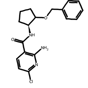 Nc1nc(Cl)ccc1C(=O)N[C@H]1CCCC1OCc1ccccc1